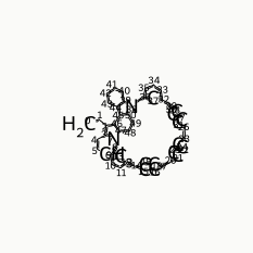 C=Cc1c(/C=C\C)n2c3cccc(c3)c3ccc(cc3)c3ccc(cc3)c3ccc(cc3)c3cccc(c3)n3c4ccccc4c4c1c2ccc43